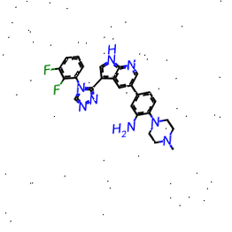 CN1CCN(c2ccc(-c3cnc4[nH]cc(-c5nncn5-c5cccc(F)c5F)c4c3)cc2N)CC1